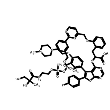 Cc1c(-c2c(-c3ccc(F)cc3)sc3ncnc(OC(Cc4ccccc4OCc4ccnc(-c5cccc(COP(O)OP(=O)(O)OCCNC(=O)C(C)(S)CO)c5)n4)C(=O)O)c23)ccc(OCCN2CCN(C)CC2)c1Cl